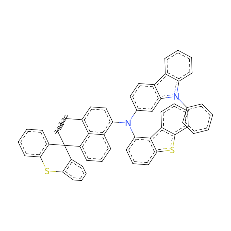 c1ccc(-n2c3ccccc3c3ccc(N(c4ccc5c6c(cccc46)C4(c6ccccc6Sc6ccccc64)c4ccccc4-5)c4cccc5sc6ccccc6c45)cc32)cc1